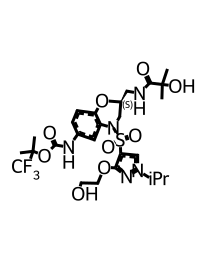 CC(C)n1cc(S(=O)(=O)N2C[C@H](CNC(=O)C(C)(C)O)Oc3ccc(NC(=O)OC(C)(C)C(F)(F)F)cc32)c(OCCO)n1